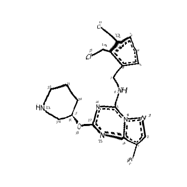 CC(C)c1cnn2c(NCc3cccc(Cl)c3Cl)nc(O[C@@H]3CCCNC3)nc12